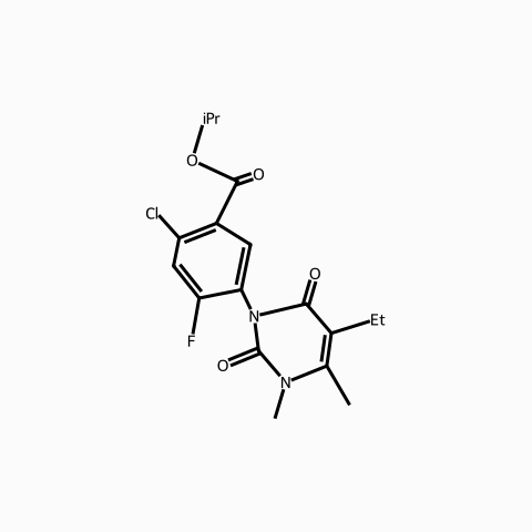 CCc1c(C)n(C)c(=O)n(-c2cc(C(=O)OC(C)C)c(Cl)cc2F)c1=O